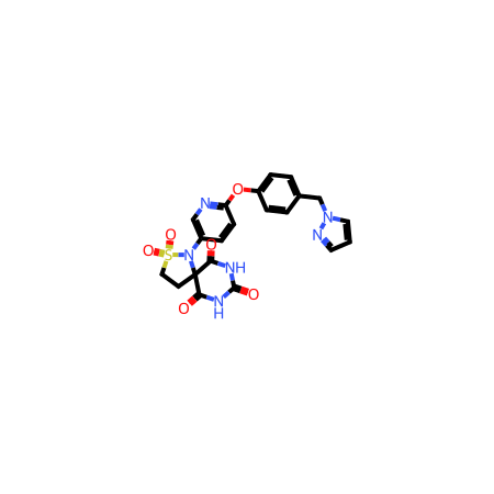 O=C1NC(=O)C2(CCS(=O)(=O)N2c2ccc(Oc3ccc(Cn4cccn4)cc3)nc2)C(=O)N1